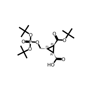 CC(C)(C)OC(=O)[C@@H]1[C@@H](COP(=O)(OC(C)(C)C)OC(C)(C)C)[C@H]1C(=O)O